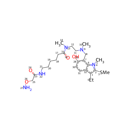 CCc1c(SC)n(C)c2c(CN(C)CCN(C)C(=O)CCCCCNC(=O)CON)c(O)ccc12